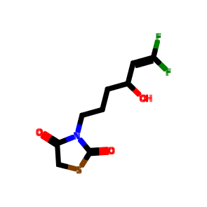 O=C1CSC(=O)N1CCCC(O)C=C(F)F